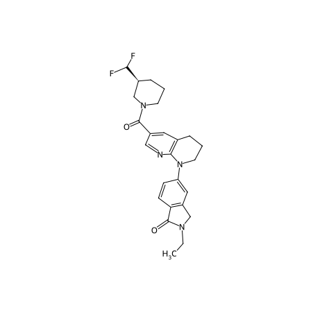 CCN1Cc2cc(N3CCCc4cc(C(=O)N5CCC[C@H](C(F)F)C5)cnc43)ccc2C1=O